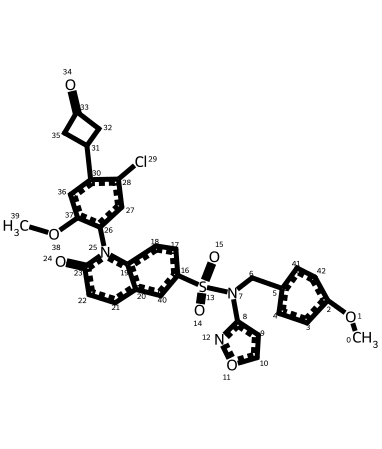 COc1ccc(CN(c2ccon2)S(=O)(=O)c2ccc3c(ccc(=O)n3-c3cc(Cl)c(C4CC(=O)C4)cc3OC)c2)cc1